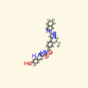 CCCCn1nc(-c2cc3ccccc3cn2)cc1-c1ccc(C(=O)NC(=O)C(N)Cc2ccc(O)cc2)cc1